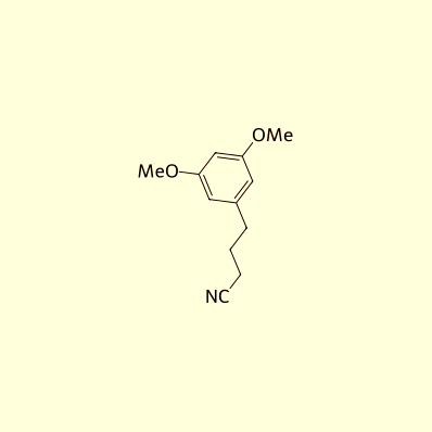 COc1cc(CCCC#N)cc(OC)c1